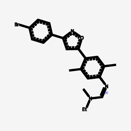 CCN(C)/C=N\c1cc(C)c(-c2cc(-c3ccc(Br)cc3)no2)cc1C